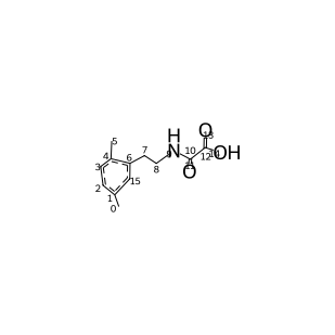 Cc1ccc(C)c(CCNC(=O)C(=O)O)c1